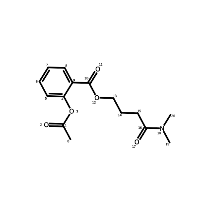 CC(=O)Oc1ccccc1C(=O)OCCCC(=O)N(C)C